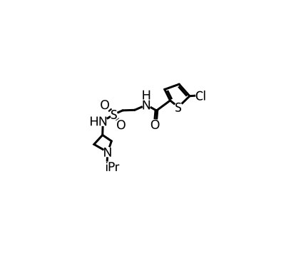 CC(C)N1CC(NS(=O)(=O)CCNC(=O)c2ccc(Cl)s2)C1